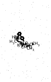 CCCCc1nc(Cl)c(C(=O)OC(C)OC(=O)OCC)n1Cc1ccc(-c2ccccc2-c2nnn[nH]2)cc1.[K]